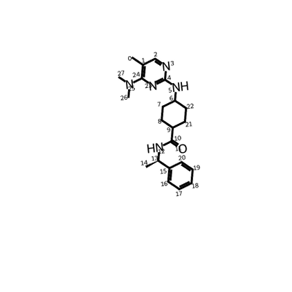 Cc1cnc(NC2CCC(C(=O)N[C@H](C)c3ccccc3)CC2)nc1N(C)C